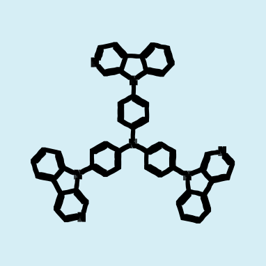 c1ccc2c(c1)c1ccncc1n2-c1ccc(N(c2ccc(-n3c4ccccc4c4ccncc43)cc2)c2ccc(-n3c4ccccc4c4ccncc43)cc2)cc1